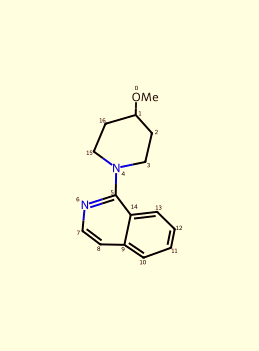 COC1CCN(c2nccc3ccccc23)CC1